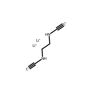 [C-]#CNCCNC#[C-].[Li+].[Li+]